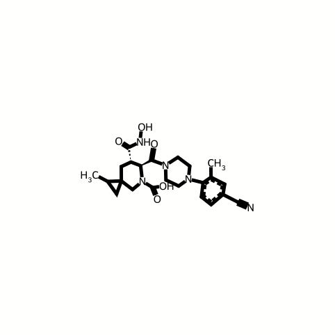 Cc1cc(C#N)ccc1N1CCN(C(=O)[C@@H]2[C@@H](C(=O)NO)CC3(CC3C)CN2C(=O)O)CC1